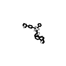 c1ccc(-c2nc(-c3ccc(-c4cccnc4)cc3)nc(-c3cc4ccc5c(ccc6ccoc65)c4o3)n2)cc1